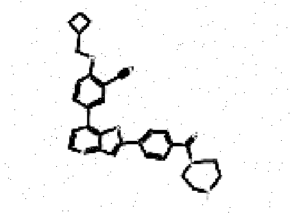 N#Cc1cc(-c2ccnc3cc(-c4ccc(C(=O)N5CCNCC5)cc4)oc23)ccc1OCC1CCC1